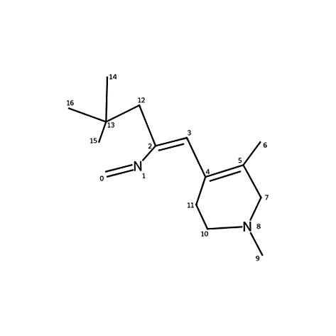 C=N/C(=C\C1=C(C)CN(C)CC1)CC(C)(C)C